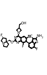 N#Cc1c(N)sc2c(F)ccc(-c3c(Cl)cc4c(N5CC(CO)C5)nc(OC[C@@]56CCCN5C[C@H](F)C6)nc4c3F)c12